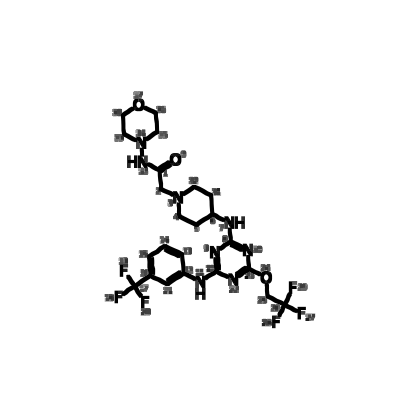 O=C(CN1CCC(Nc2nc(Nc3cccc(C(F)(F)F)c3)nc(OCC(F)(F)F)n2)CC1)NN1CCOCC1